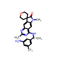 Cc1nc(N[C@H](C)c2cc(N)cc(C(F)(F)F)c2)c2cc3c(cc2n1)C1(CCOCC1)C(=O)N3C